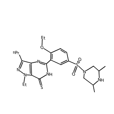 CCCc1nn(CC)c2c(=S)[nH]c(-c3cc(S(=O)(=O)N4CC(C)NC(C)C4)ccc3OCC)nc12